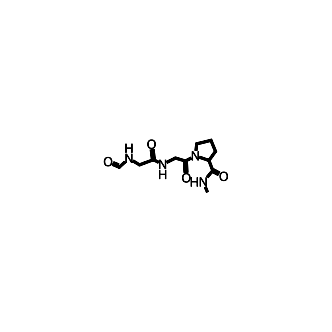 CNC(=O)C1CCCN1C(=O)CNC(=O)CNC=O